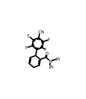 CC(C)N(C(=O)C1=CCC=CC1c1c(F)c(F)c(C#N)c(F)c1F)C(C)C